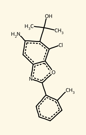 Cc1ccccc1-c1nc2cc(N)c(C(C)(C)O)c(Cl)c2o1